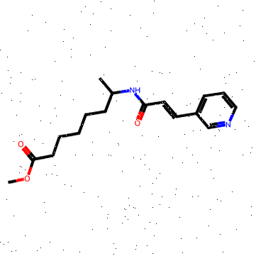 COC(=O)CCCCCC(C)NC(=O)C=Cc1cccnc1